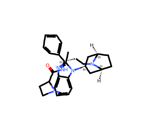 CC(=O)N1CCC1C(=O)N[C@@H](CCN1[C@@H]2CC[C@H]1C[C@@H](n1c(C)nc3ccccc31)C2)c1ccccc1